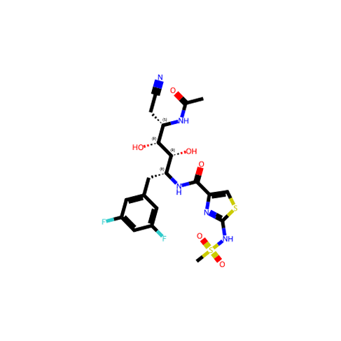 CC(=O)N[C@@H](CC#N)[C@@H](O)[C@H](O)[C@@H](Cc1cc(F)cc(F)c1)NC(=O)c1csc(NS(C)(=O)=O)n1